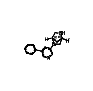 c1ccc(-c2cncc(N3C[C@@H]4C[C@H]3CN4)c2)cc1